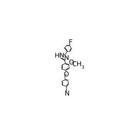 COc1cc(OCc2ccc(C#N)cc2)ccc1-c1c[nH]c(-c2ccc(F)cc2)n1